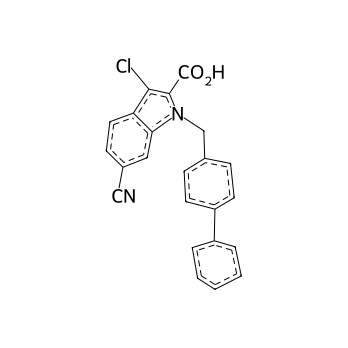 N#Cc1ccc2c(Cl)c(C(=O)O)n(Cc3ccc(-c4ccccc4)cc3)c2c1